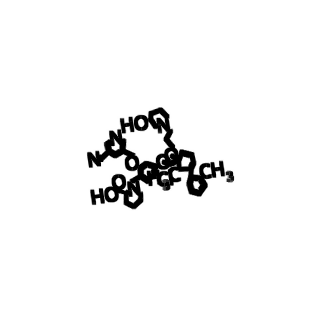 Cc1ccccc1C1=CC=CC(COc2cc(OCc3cncc(C#N)c3)c(CN3CCCC[C@H]3C(=O)O)cc2Cl)(OCCCN2CCC[C@@H](O)C2)C1C